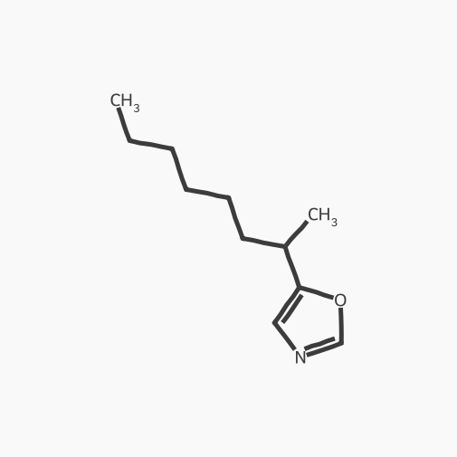 CCCCCCC(C)c1cnco1